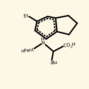 CCCCCNC(C(=O)O)C(C)CC.CCc1ccc2c(c1)CCC2